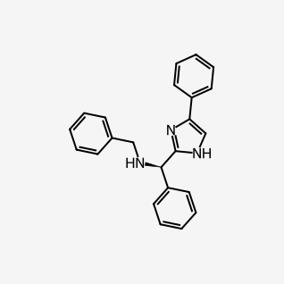 c1ccc(CN[C@H](c2ccccc2)c2nc(-c3ccccc3)c[nH]2)cc1